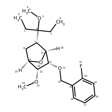 CCC(CC)(OC)[C@H]1C[C@H]2O[C@@H]1[C@H](OCc1ccccc1F)[C@@H]2OC